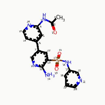 CC(=O)Nc1cc(-c2cnc(N)c(S(=O)(=O)Nc3cccnc3)c2)ccn1